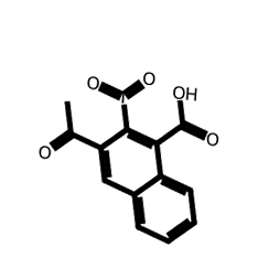 CC(=O)c1cc2ccccc2c(C(=O)O)c1I(=O)=O